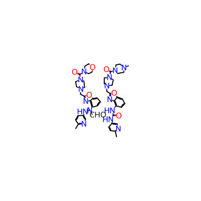 Cc1ccc(NC(=O)Nc2cccc3oc(CN4CCN(C(=O)N5CCN(C)CC5)CC4)nc23)cn1.Cc1ccc(NN(C=O)c2cccc3oc(CN4CCN(C(=O)N5CCOCC5)CC4)nc23)cn1